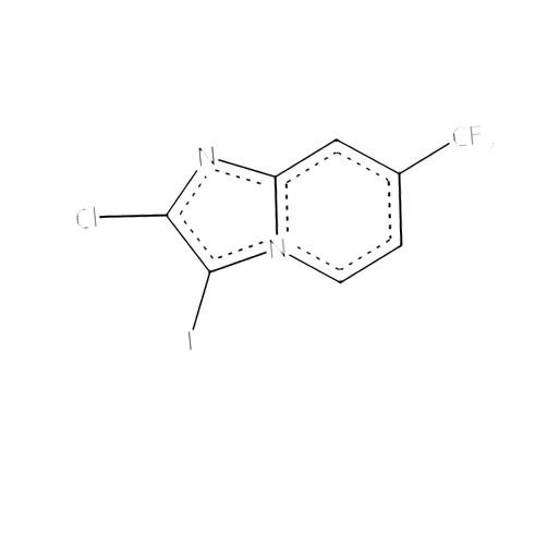 FC(F)(F)c1ccn2c(I)c(Cl)nc2c1